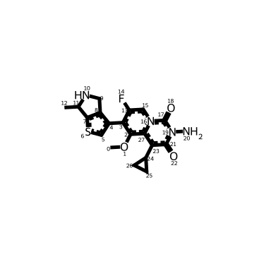 COc1c(-c2csc3c2CNC3C)c(F)cn2c(=O)n(N)c(=O)c(C3CC3)c12